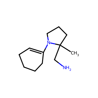 CC1(CN)CCCN1C1=CCCCC1